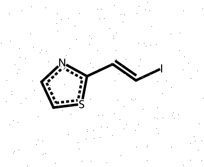 IC=Cc1nccs1